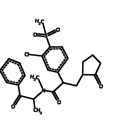 CC(C(=O)c1ccccc1)N(C)C(=O)C(CC1CCCC1=O)c1ccc(S(C)(=O)=O)c(Cl)c1